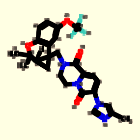 Cc1cn(-c2ccc3n(c2=O)CCN(CC24C[C@@H]2C(C)(C)Oc2ccc(OC(F)(F)F)cc24)C3=O)cn1